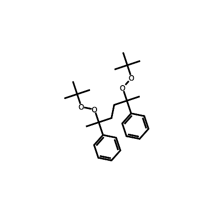 CC(C)(C)OOC(C)(CCC(C)(OOC(C)(C)C)c1ccccc1)c1ccccc1